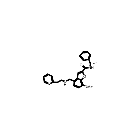 COc1ccc(CNCCc2ccccn2)c2cc(C(=O)N[C@@H](C)c3ccccc3)oc12